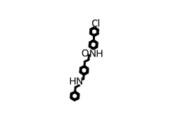 O=C(CCc1ccc(CNCCc2ccccc2)cc1)Nc1ccc(-c2ccc(Cl)cc2)cc1